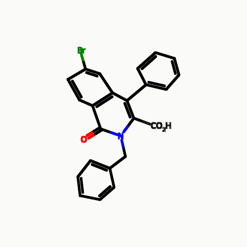 O=C(O)c1c(-c2ccccc2)c2cc(Br)ccc2c(=O)n1Cc1ccccc1